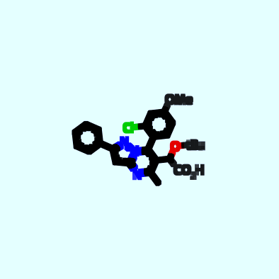 COc1ccc(-c2c(C(OC(C)(C)C)C(=O)O)c(C)nc3cc(-c4ccccc4)nn23)c(Cl)c1